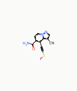 N#Cc1cnn2ccc(C(N)=O)c(C#CSI)c12